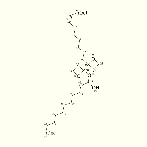 CCCCCCCC/C=C\CCCCCCC1(C2(OP(O)OCCCCCCCCCCCCCCCCCC)CCO2)CCO1